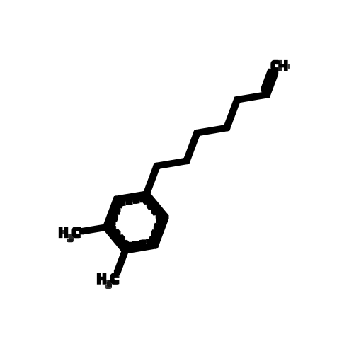 [CH]=CCCCCCc1ccc(C)c(C)c1